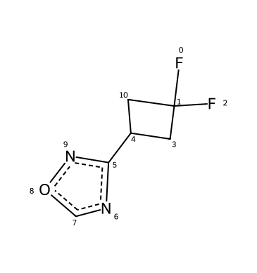 FC1(F)CC(c2ncon2)C1